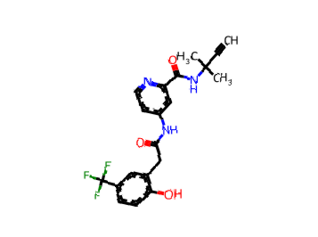 C#CC(C)(C)NC(=O)c1cc(NC(=O)Cc2cc(C(F)(F)F)ccc2O)ccn1